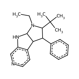 CCN1C2Nc3cnccc3C2C(c2ccccc2)C1C(C)(C)C